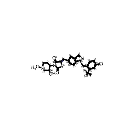 CN1CCC(N2C(=O)S/C(=C\c3ccc4c(cnn4Cc4ccc(Cl)cc4C(F)(F)F)c3)C2=O)[C@@H](O)C1